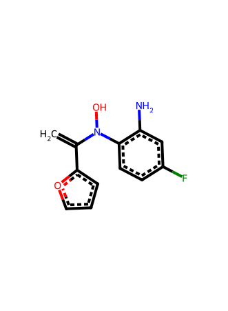 C=C(c1ccco1)N(O)c1ccc(F)cc1N